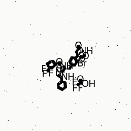 O=C(O)C(F)(F)F.O=C1CC(c2ccc(C[C@H](NS(=O)(=O)c3cccc(C(F)(F)F)c3)c3ncc(-c4ccccc4)[nH]3)cc2Br)S(=O)(=O)N1